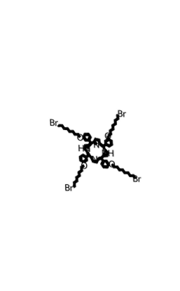 BrCCCCCCCCOc1cccc(-c2c3nc(c(-c4cccc(OCCCCCCCCBr)c4)c4ccc([nH]4)c(-c4cccc(OCCCCCCCCBr)c4)c4nc(c(-c5cccc(OCCCCCCCCBr)c5)c5ccc2[nH]5)C=C4)C=C3)c1